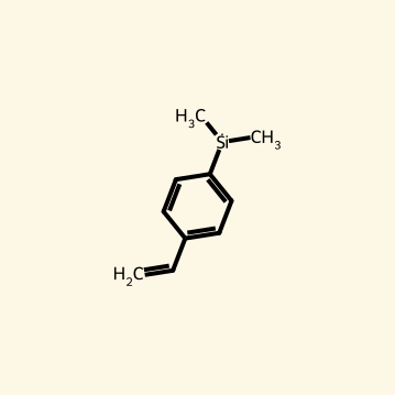 C=Cc1ccc([Si](C)C)cc1